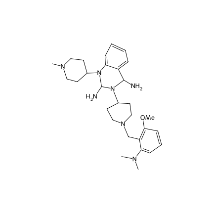 COc1cccc(N(C)C)c1CN1CCC(N2C(N)c3ccccc3N(C3CCN(C)CC3)C2N)CC1